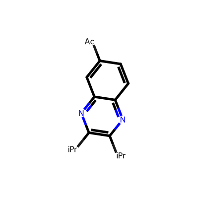 CC(=O)c1ccc2nc(C(C)C)c(C(C)C)nc2c1